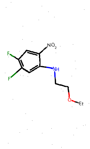 CCOCCNc1cc(F)c(F)cc1[N+](=O)[O-]